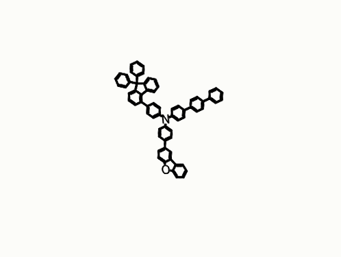 c1ccc(-c2ccc(-c3ccc(N(c4ccc(-c5ccc6oc7ccccc7c6c5)cc4)c4ccc(-c5cccc6c5-c5ccccc5C6(c5ccccc5)c5ccccc5)cc4)cc3)cc2)cc1